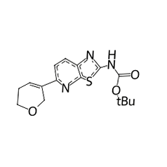 CC(C)(C)OC(=O)Nc1nc2ccc(C3=CCCOC3)nc2s1